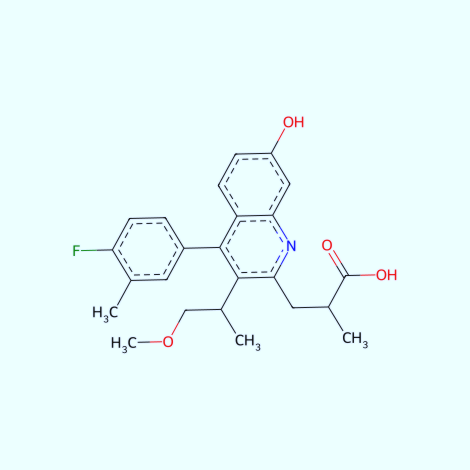 COCC(C)c1c(CC(C)C(=O)O)nc2cc(O)ccc2c1-c1ccc(F)c(C)c1